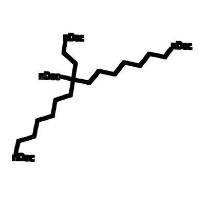 CCCCCCCCCCCCCCCCCC(CCCCCCCCCC)(CCCCCCCCCCCC)CCCCCCCCCCCCCCCC